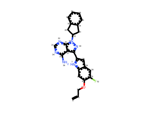 C=CCOc1cc2[nH]c(-c3nn(C4Cc5ccccc5C4)c4ncnc(N)c34)cc2cc1F